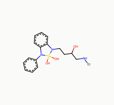 CCNCC(O)CCN1c2ccccc2N(c2ccccc2)S1(O)O